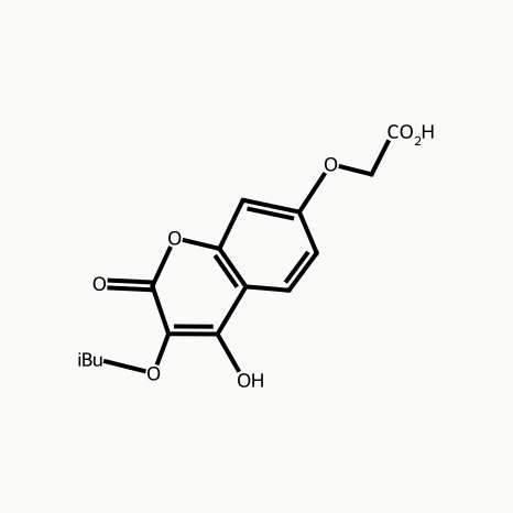 CCC(C)Oc1c(O)c2ccc(OCC(=O)O)cc2oc1=O